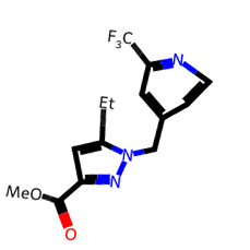 CCc1cc(C(=O)OC)nn1Cc1ccnc(C(F)(F)F)c1